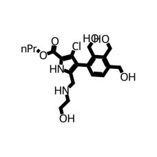 CCCOC(=O)c1[nH]c(CNCCO)c(-c2ccc(CO)c(CO)c2CO)c1Cl